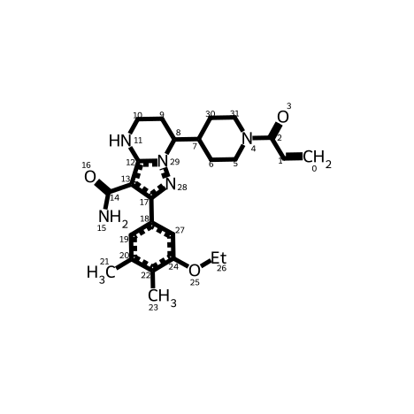 C=CC(=O)N1CCC(C2CCNc3c(C(N)=O)c(-c4cc(C)c(C)c(OCC)c4)nn32)CC1